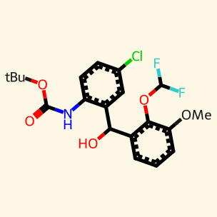 COc1cccc(C(O)c2cc(Cl)ccc2NC(=O)OC(C)(C)C)c1OC(F)F